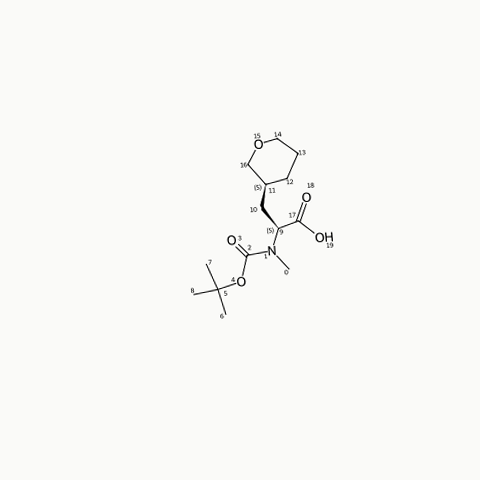 CN(C(=O)OC(C)(C)C)[C@@H](C[C@@H]1CCCOC1)C(=O)O